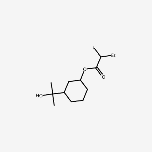 CCC(I)C(=O)OC1CCCC(C(C)(C)O)C1